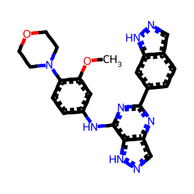 COc1cc(Nc2nc(-c3ccc4cn[nH]c4c3)nc3cn[nH]c23)ccc1N1CCOCC1